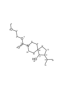 COCCOC(=O)N1CCC2(CCC(C(C)C)C2O)CC1